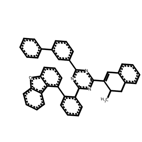 CC1Cc2ccccc2C=C1c1nc(-c2cccc(-c3ccccc3)c2)nc(-c2ccccc2-c2cccc3oc4ccccc4c23)n1